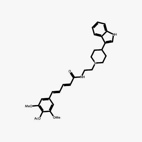 COc1cc(/C=C/C=C/C(=O)NCCN2CCC(c3c[nH]c4ccccc34)CC2)cc(OC)c1OC(C)=O